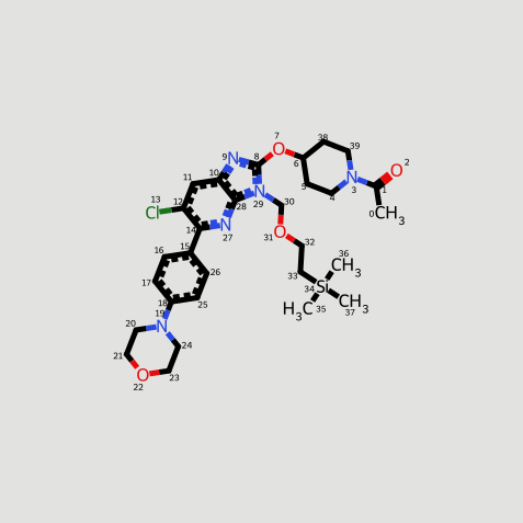 CC(=O)N1CCC(Oc2nc3cc(Cl)c(-c4ccc(N5CCOCC5)cc4)nc3n2COCC[Si](C)(C)C)CC1